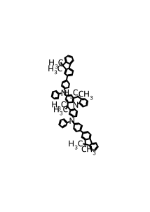 CC1(C)c2ccccc2-c2ccc(C3=CC=C(N(c4ccccc4)c4cc5c6c(c4)C(C)(C)c4cc(N(c7ccccc7)c7ccc(-c8ccc9c(c8)C(C)(C)c8ccccc8-9)cc7)ccc4N6c4ccccc4C5(C)C)CC3)cc21